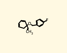 C=CC1(OCc2ccc(F)cc2)C=CC=CC1